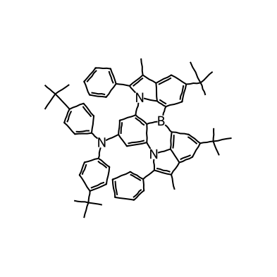 Cc1c(-c2ccccc2)n2c3c(cc(C(C)(C)C)cc13)B1c3c-2cc(N(c2ccc(C(C)(C)C)cc2)c2ccc(C(C)(C)C)cc2)cc3-n2c(-c3ccccc3)c(C)c3cc(C(C)(C)C)cc1c32